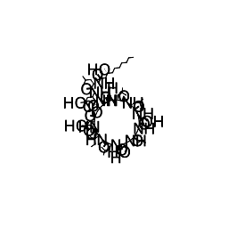 CCCCCCC[C@@H](O)CC(=O)N[C@H](CC(C)C)C(=O)N[C@H](CC(=O)O)C(=O)N[C@H]1C(=O)N[C@@H](CC(C)C)C(=O)N[C@@H](CC(C)C)C(=O)N[C@@H](CO)C(=O)N[C@H](CC(C)C)C(=O)N[C@H](CO)C(=O)NC(CC(C)C)C(=O)N[C@H]([C@H](C)CC)C(=O)N[C@@H](CC(=O)O)C(=O)O[C@@H]1C